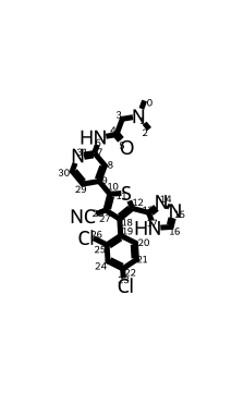 CN(C)CC(=O)Nc1cc(-c2sc(-c3nnc[nH]3)c(-c3ccc(Cl)cc3Cl)c2C#N)ccn1